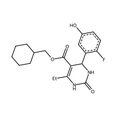 CCC1=C(C(=O)OCC2CCCCC2)C(c2cc(O)ccc2F)NC(=O)N1